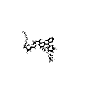 Cc1ccccc1C1=c2cc3c(cc2[Si](C)(C)c2c1cc(F)c(OS(=O)(=O)C(F)(F)F)c2F)=[N+](CCCC(=O)S(=S)(=S)SSSSSSO)C(C)(C)CC3C